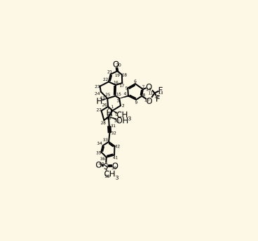 C[C@]12C[C@H](c3ccc4c(c3)OC(F)(F)O4)C3=C4CCC(=O)C=C4CC[C@H]3[C@@H]1CC[C@@]2(O)C#Cc1ccc(S(C)(=O)=O)cc1